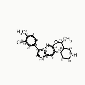 Cc1ccc(-c2cnc3ccc(OC(C)C4CCCNC4)nn23)cc1Cl